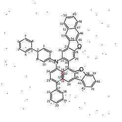 C1=CC(c2ccccc2)CC=C1N(c1ccc(-c2ccccc2)cc1)c1cc2c(cc1-c1cccc3c1oc1ccccc13)oc1cc3ccccc3cc12